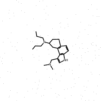 CCCN(CCC)C1CCc2ccc3[nH]cc(CN(C)C)c3c2C1